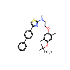 Cc1cc(OC(C)(C)C(=O)O)c(C)cc1OCCN(C)c1nc(-c2ccc(-c3ccccc3)cc2)cs1